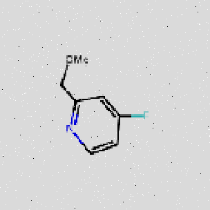 COCc1cc(F)ccn1